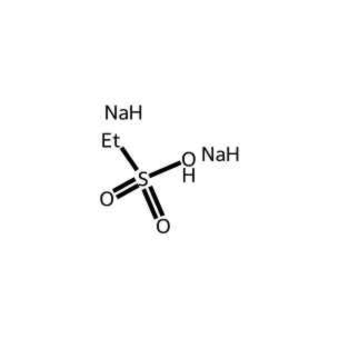 [CH2]CS(=O)(=O)O.[NaH].[NaH]